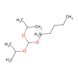 CCCC[SiH2]OC(OC(C)C)OC(C)C